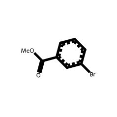 [CH2]OC(=O)c1cccc(Br)c1